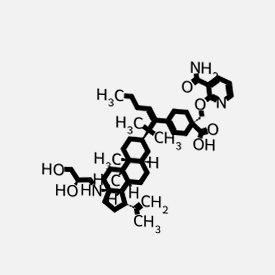 C=C(C)[C@@H]1CC[C@]2(NC[C@@H](O)CO)CC[C@]3(C)[C@H](CC[C@@H]4C[C@H](C(C)(C)/C(=C\CCC)C5=CC[C@](COc6ncccc6C(N)=O)(C(=O)O)CC5)CC[C@]43C)[C@@H]12